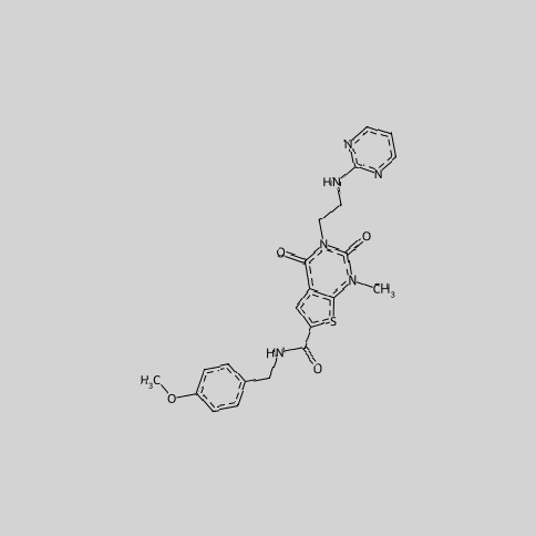 COc1ccc(CNC(=O)c2cc3c(=O)n(CCNc4ncccn4)c(=O)n(C)c3s2)cc1